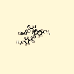 CCCCC(CC)C(=O)OOOC(C)(C)C.Cc1ccc(C(=O)OOC(=O)c2ccc(C)cc2)cc1